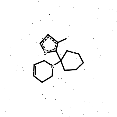 Cc1ccsc1C1(N2CC=CCC2)CCCCC1